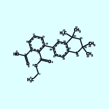 CCOC(=O)c1c(C(=O)O)cccc1-c1ccc2c(c1)C(C)(C)CC(C)(C)S2